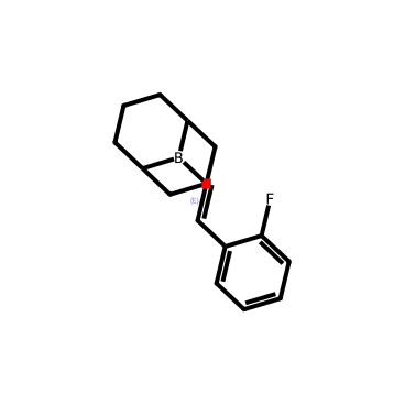 Fc1ccccc1/C=C/B1C2CCCC1CCC2